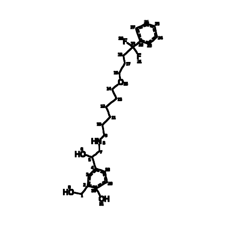 OCc1cc(C(O)CNCCCCCCOCCCC(F)(F)c2ccccc2)ccc1O